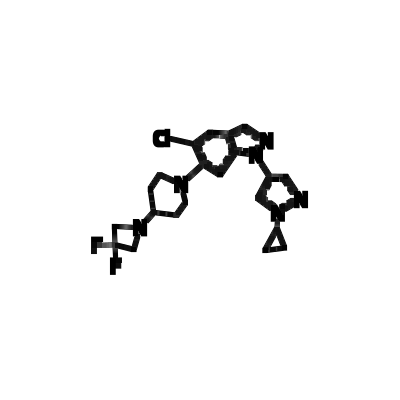 FC1(F)CN(C2CCN(c3cc4c(cnn4-c4cnn(C5CC5)c4)cc3Cl)CC2)C1